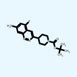 CC(C)(C)OC(=O)N1CCC(c2cc3c(F)cc(N)cc3nn2)CC1